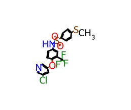 CSc1ccc(S(=O)(=O)Nc2ccc(Oc3cncc(Cl)c3)c(C(F)(F)F)c2)cc1